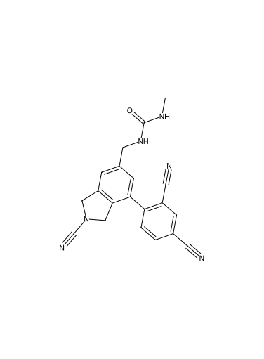 CNC(=O)NCc1cc2c(c(-c3ccc(C#N)cc3C#N)c1)CN(C#N)C2